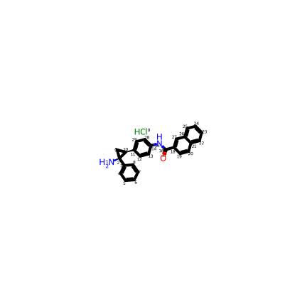 Cl.N[C@@]1(c2ccccc2)C[C@H]1c1ccc(NC(=O)c2ccc3ccccc3c2)cc1